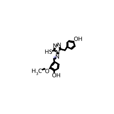 CCOc1cc(/C=N/n2c(S)nnc2Cc2ccc(O)cc2)ccc1O